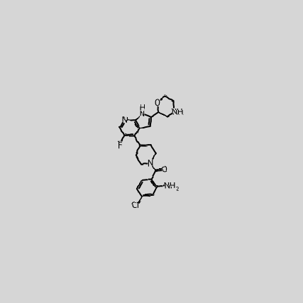 Nc1cc(Cl)ccc1C(=O)N1CCC(c2c(F)cnc3[nH]c(C4CNCCO4)cc23)CC1